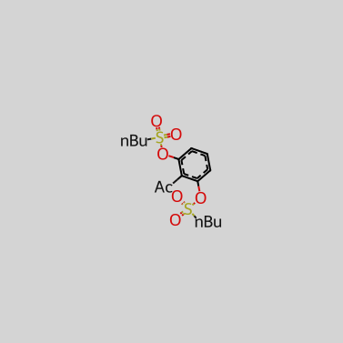 CCCCS(=O)(=O)Oc1cccc(OS(=O)(=O)CCCC)c1C(C)=O